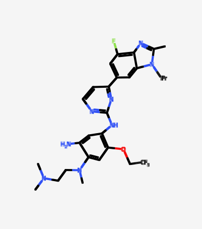 Cc1nc2c(F)cc(-c3ccnc(Nc4cc(N)c(N(C)CCN(C)C)cc4OCC(F)(F)F)n3)cc2n1C(C)C